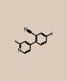 Cc1cc(-c2ccc(I)cc2C#N)ccn1